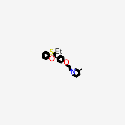 CC[C@@H]1Sc2ccccc2O[C@H]1c1ccc(OCCCN2CCC[C@H](C)C2)cc1